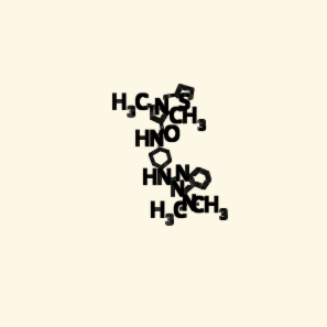 Cc1cc(C(=O)N[C@H]2CC[C@@H](Nc3nc(N(C)C)c4ccccc4n3)CC2)c(C)n1Cc1cccs1